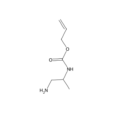 C=CCOC(=O)NC(C)CN